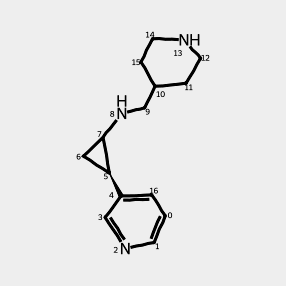 c1cncc([C@H]2CC2NCC2CCNCC2)c1